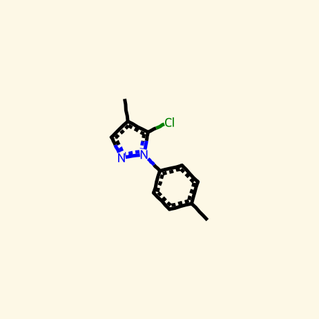 Cc1ccc(-n2ncc(C)c2Cl)cc1